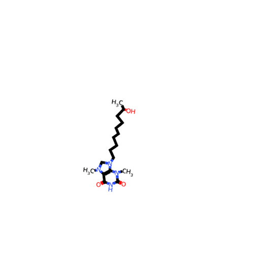 CC(O)CCCCCCCCN1CN(C)c2c1n(C)c(=O)[nH]c2=O